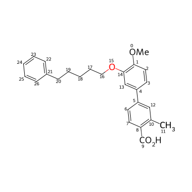 COc1ccc(-c2ccc(C(=O)O)c(C)c2)cc1OCCCCCc1ccccc1